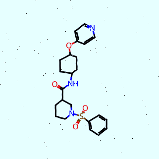 O=C(NC1CCC(Oc2ccncc2)CC1)C1CCCN(S(=O)(=O)c2ccccc2)C1